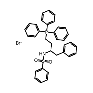 O=S(=O)(N[C@@H](CC[P+](c1ccccc1)(c1ccccc1)c1ccccc1)Cc1ccccc1)c1ccccc1.[Br-]